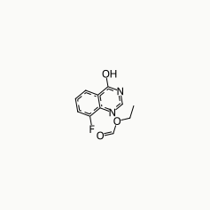 CCOC=O.Oc1ncnc2c(F)cccc12